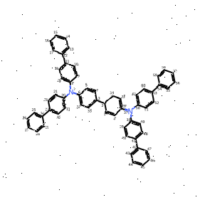 C1=CC(c2ccc(N(c3ccc(-c4ccccc4)cc3)c3ccc(-c4ccccc4)cc3)cc2)CC=C1N(c1ccc(-c2ccccc2)cc1)c1ccc(-c2ccccc2)cc1